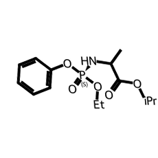 CCO[P@@](=O)(NC(C)C(=O)OC(C)C)Oc1ccccc1